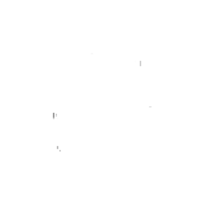 O=P(O)(O)c1cc(F)c(C(F)(F)F)c(F)c1